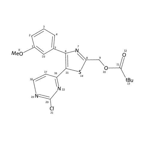 COc1cccc(-c2nc(COC(=O)C(C)(C)C)sc2-c2ccnc(Cl)n2)c1